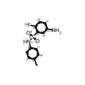 Cc1ccc(NS(=O)(=O)c2cc(N)ccc2F)cc1